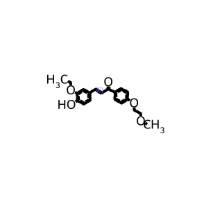 CCOc1cc(/C=C/C(=O)c2ccc(OCCOC)cc2)ccc1O